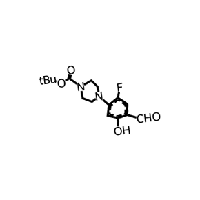 CC(C)(C)OC(=O)N1CCN(c2cc(O)c(C=O)cc2F)CC1